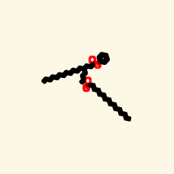 CCCCCCCCCCCCCCCC(=O)OC(C)CCC(CCCCCCCCCCCC)CCC(=O)Oc1ccccc1